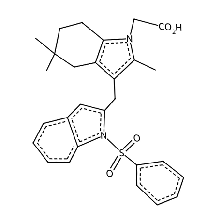 Cc1c(Cc2cc3ccccc3n2S(=O)(=O)c2ccccc2)c2c(n1CC(=O)O)CCC(C)(C)C2